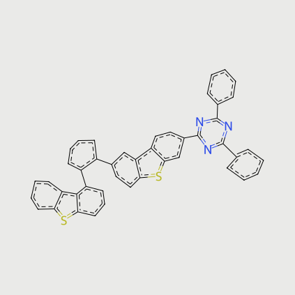 c1ccc(-c2nc(-c3ccccc3)nc(-c3ccc4c(c3)sc3ccc(-c5ccccc5-c5cccc6sc7ccccc7c56)cc34)n2)cc1